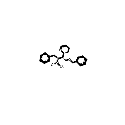 CC(C)(C)[S+]([O-])N(Cc1ccccc1)[C@H](COCc1ccccc1)[C@@H]1CCC=CO1